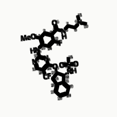 COc1cc(C(=O)NCCN(C)C)c(F)cc1Nc1ncc(C(F)(F)F)c(O[C@@H]2Cc3ccccc3[C@H]2NS(C)(=O)=O)n1